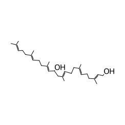 CC(C)=CCC/C(C)=C/CC/C(C)=C/C(O)CC(C)=CCCC(C)=CCCC(C)=CCO